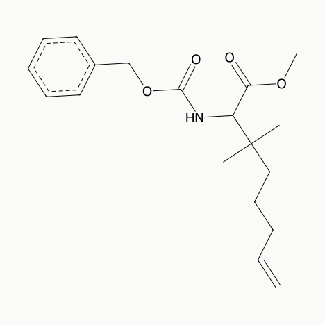 C=CCCCC(C)(C)C(NC(=O)OCc1ccccc1)C(=O)OC